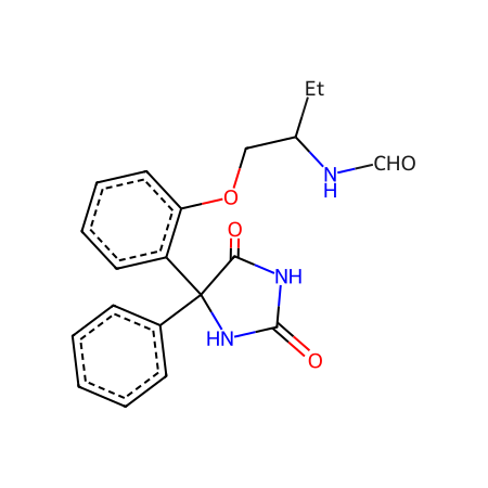 CCC(COc1ccccc1C1(c2ccccc2)NC(=O)NC1=O)NC=O